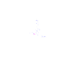 CC(=O)N1CCN(c2ccc(Nc3ncc(C(N)=O)c(N[C@H]4CC[C@H](NC(=O)O)CC4)n3)cc2)CC1